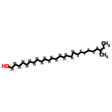 CCC(C)CCCCCCCCCCCCCCCCCCCCCCCCO